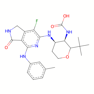 Cc1cccc(Nc2nc(N[C@@H]3CCOC(C(C)(C)C)[C@@H]3NC(=O)O)c(F)c3c2C(=O)NC3)c1